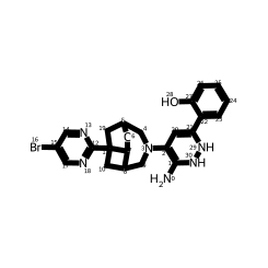 NC1=C(N2CC3CC4C(C2)CC4(c2ncc(Br)cn2)C3)C=C(c2ccccc2O)NN1